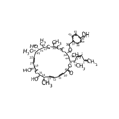 C=C/C=C\[C@H](C)[C@@H]1OC(=O)/C=C\C=C\[C@@H](C)[C@@H](O)C[C@H](O)/C=C\[C@H](C)[C@H](O)[C@@H](C)C[C@@H](C)CC[C@@H](OCc2ccc(O)cc2)[C@@H]1C